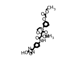 CCOC(=O)COc1cccc(N2CCO[C@H]([C@@H](O)C(=O)Nc3ccc(-c4noc(O)n4)cc3)C2=O)c1.N